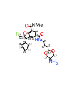 CNC(=O)c1cc(C(=O)NCCC[C@H]2OC[C@H](N)CO2)cc2c1O[C@H](CF)[C@H]2c1ccccc1